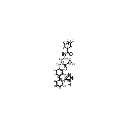 CC(C)CC(CS)C(=O)NCCN(Cc1ccc(-c2ccccc2-c2nnn[nH]2)cc1)C(=O)C1CC1